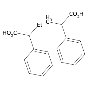 CC(C(=O)O)c1ccccc1.CCC(C(=O)O)c1ccccc1